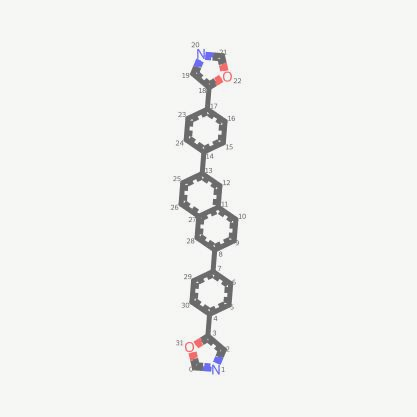 c1ncc(-c2ccc(-c3ccc4cc(-c5ccc(-c6cnco6)cc5)ccc4c3)cc2)o1